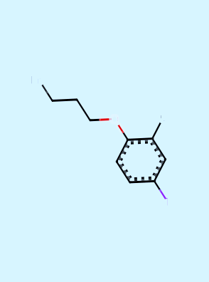 Cc1cc(I)ccc1OCCCC(C)C